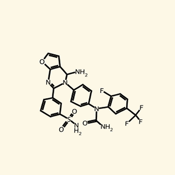 NC(=O)N(c1ccc(N2C(c3cccc(S(N)(=O)=O)c3)=Nc3occc3C2N)cc1)c1cc(C(F)(F)F)ccc1F